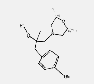 CCOC(C)(Cc1ccc(C(C)(C)C)cc1)CN1C[C@@H](C)O[C@@H](C)C1